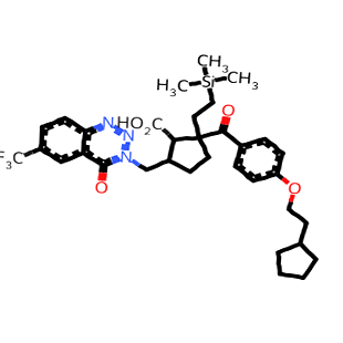 C[Si](C)(C)CCC1(C(=O)c2ccc(OCCC3CCCC3)cc2)CCC(Cn2nnc3ccc(C(F)(F)F)cc3c2=O)C1C(=O)O